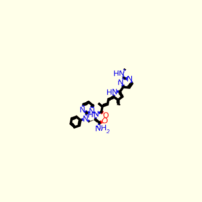 C=c1cc(-c2ccnc(NC)n2)[nH]/c1=C/C=C(\C)C(=O)N[C@@H](CN(c1ccccc1)c1ncccn1)C(N)=O